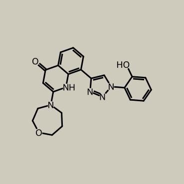 O=c1cc(N2CCCOCC2)[nH]c2c(-c3cn(-c4ccccc4O)nn3)cccc12